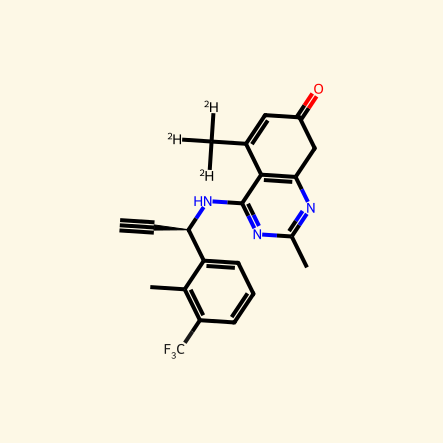 [2H]C([2H])([2H])C1=CC(=O)Cc2nc(C)nc(N[C@H](C#C)c3cccc(C(F)(F)F)c3C)c21